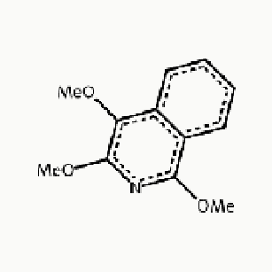 COc1nc(OC)c2ccccc2c1OC